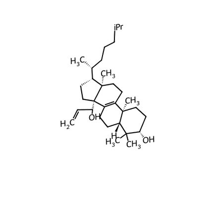 C=CC(O)[C@]12CC[C@H]([C@H](C)CCCC(C)C)[C@@]1(C)CCC1=C2CC[C@H]2C(C)(C)[C@@H](O)CC[C@]12C